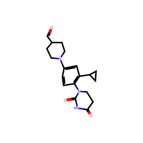 O=CC1CCN(c2ccc(N3CCC(=O)NC3=O)c(C3CC3)c2)CC1